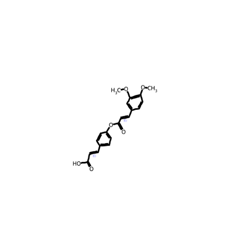 COc1ccc(/C=C/C(=O)Oc2ccc(/C=C/C(=O)O)cc2)cc1OC